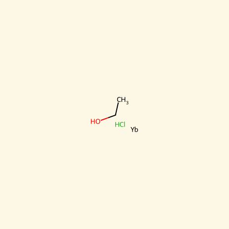 CCO.Cl.[Yb]